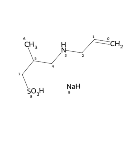 C=CCNCC(C)CS(=O)(=O)O.[NaH]